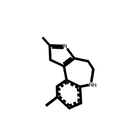 CC1=NC2=C(C1)c1cc(C)ccc1NCC2